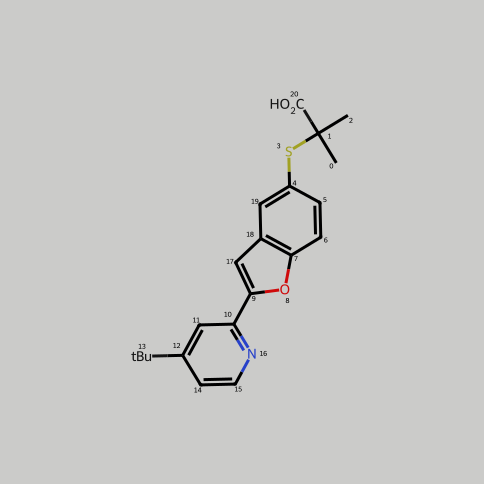 CC(C)(Sc1ccc2oc(-c3cc(C(C)(C)C)ccn3)cc2c1)C(=O)O